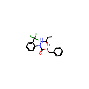 CCC(=O)NN(C(=O)OCc1ccccc1)c1ccccc1C(F)(F)F